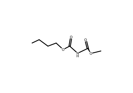 CCCCOC(=O)NC(=O)OC